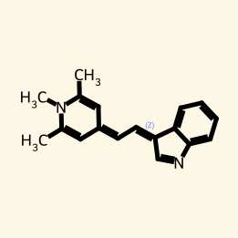 CC1=CC(=C/C=C2\C=Nc3ccccc32)C=C(C)N1C